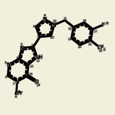 CCCn1cnc2nc(-c3cnn(Cc4ccc(C(F)(F)F)c(F)c4)c3)[nH]c2c1=O